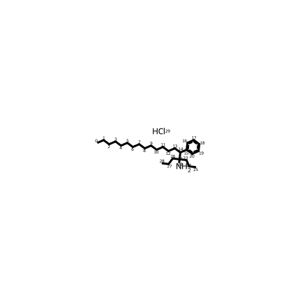 CCCCCCCCCCCCCCC(c1ccccc1)C(N)(CCC)CCC.Cl